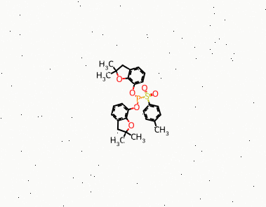 Cc1ccc(S(=O)(=O)P(Oc2cccc3c2OC(C)(C)C3)Oc2cccc3c2OC(C)(C)C3)cc1